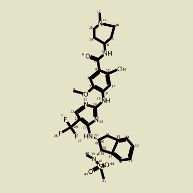 COc1cc(C(=O)NC2CCN(C)CC2)c(Cl)cc1Nc1ncc(C(F)(F)F)c(N[C@@H]2Cc3ccccc3[C@@H]2N(C)S(C)(=O)=O)n1